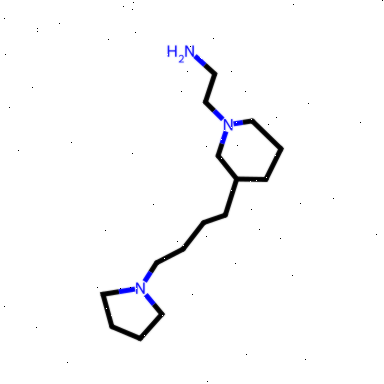 NCCN1CCCC(CCCCN2CCCC2)C1